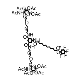 CC(=O)N[C@@H]1C(OCCOCCOCCNC(=O)c2cc(NC(=O)CCCCCCCCCCC(=O)Oc3c(F)c(F)c(F)c(F)c3F)cc(C(=O)NCCOCCOCCOC3O[C@H](COC(C)=O)[C@H](OC(C)=O)[C@H](OC(C)=O)[C@H]3NC(C)=O)c2)O[C@@H](COC(C)=O)[C@@H](OC(C)=O)[C@H]1OC(C)=O